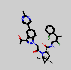 CC(=O)c1nn(CC(=O)N2[C@@H]3C[C@@H]3C[C@H]2C(=O)NCC(F)=C(C)c2ccccc2Cl)c2ccc(-c3cnc(C)nc3)cc12